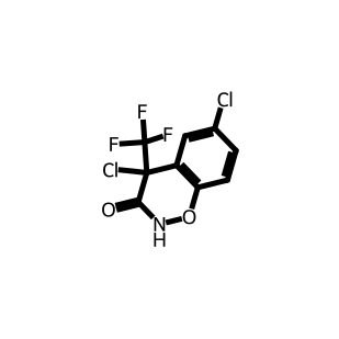 O=C1NOc2ccc(Cl)cc2C1(Cl)C(F)(F)F